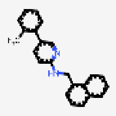 FC(F)(F)c1ccccc1-c1ccc(NCc2cccc3ccccc23)nc1